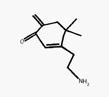 C=C1CC(C)(C)C(CCN)=CC1=O